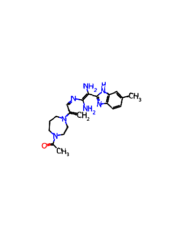 C=C(/C=N\C(N)=C(/N)c1nc2ccc(C)cc2[nH]1)N1CCCN(C(C)=O)CC1